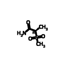 C[C@H](C(N)=O)S(C)(=O)=O